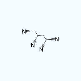 N#CCC(C#N)CC(C#N)C#N